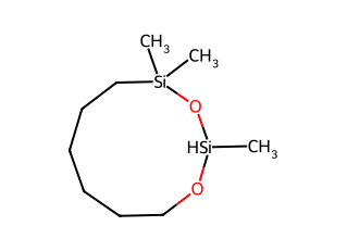 C[SiH]1OCCCCCC[Si](C)(C)O1